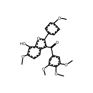 COc1ccc(-c2oc3c(O)c(OC)ccc3c2C(=O)c2cc(OC)c(OC)c(OC)c2)cc1